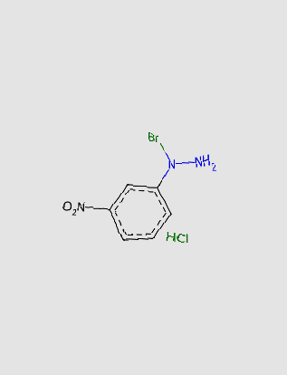 Cl.NN(Br)c1cccc([N+](=O)[O-])c1